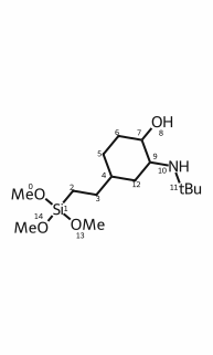 CO[Si](CCC1CCC(O)C(NC(C)(C)C)C1)(OC)OC